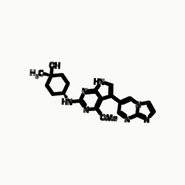 COc1nc(N[C@H]2CC[C@@](C)(O)CC2)nc2[nH]cc(-c3cnc4nccn4c3)c12